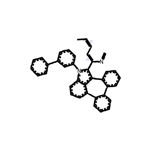 C=N/C(=C\C=C/C)c1c2c3c(cccc3n1-c1cccc(-c3ccccc3)c1)-c1ccccc1-c1ccccc1-2